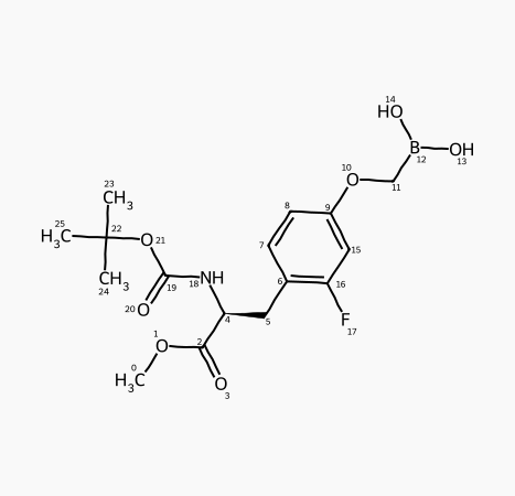 COC(=O)[C@H](Cc1ccc(OCB(O)O)cc1F)NC(=O)OC(C)(C)C